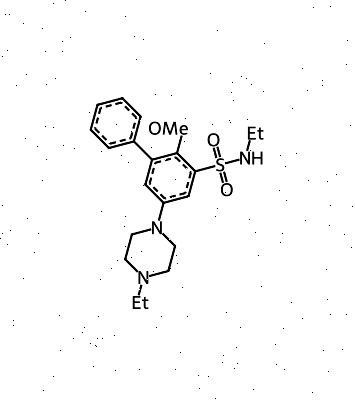 CCNS(=O)(=O)c1cc(N2CCN(CC)CC2)cc(-c2ccccc2)c1OC